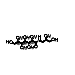 O=C(NCC(O)CO)[C@H](O)[C@H](O)[C@H](O)[C@@H](O)[C@H](O)CO